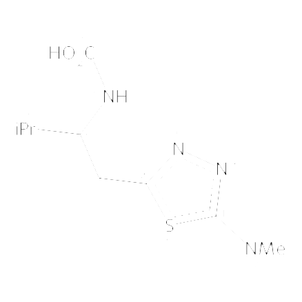 CNc1nnc(CC(NC(=O)O)C(C)C)s1